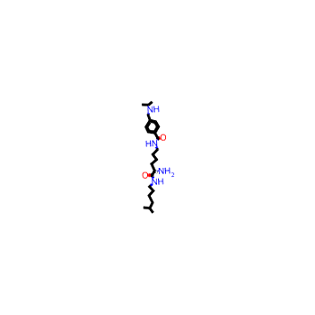 CC(C)CCCCNC(=O)[C@@H](N)CCCCNC(=O)c1ccc(CNC(C)C)cc1